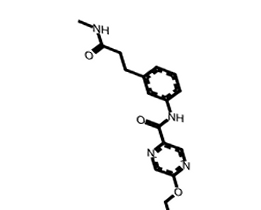 CCCOc1cnc(C(=O)Nc2cccc(CCC(=O)NC)c2)cn1